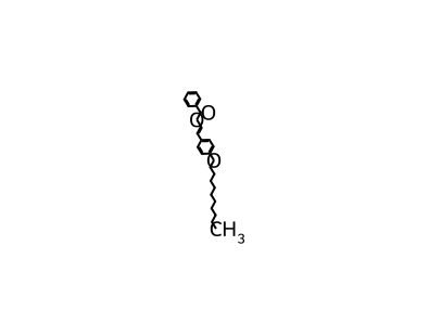 CCCCCCCCCCOc1ccc(C=COC(=O)c2ccccc2)cc1